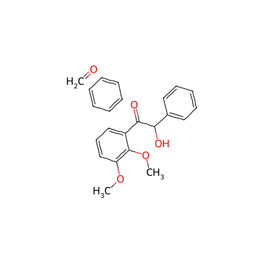 C=O.COc1cccc(C(=O)C(O)c2ccccc2)c1OC.c1ccccc1